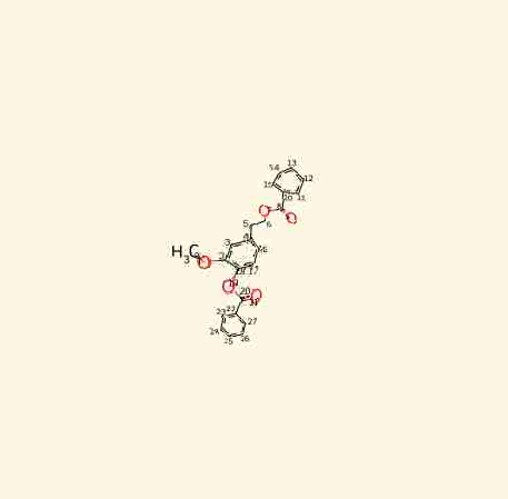 COc1cc(CCOC(=O)c2ccccc2)ccc1OC(=O)c1ccccc1